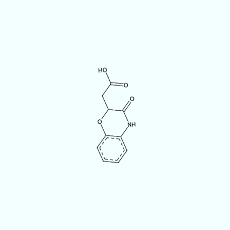 O=C(O)CC1Oc2ccccc2NC1=O